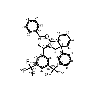 C[C@@H](OCC1(c2ccccc2)C=CC=CN1C(=O)OCc1ccccc1)c1cc(C(F)(F)F)cc(C(F)(F)F)c1